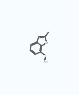 Cc1cc2cccc(SS)c2o1